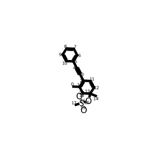 CC1=C(C#Cc2ccccc2)C=CC(C)(OS(C)(=O)=O)C1